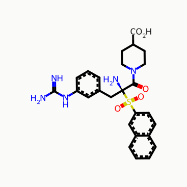 N=C(N)Nc1cccc(C[C@](N)(C(=O)N2CCC(C(=O)O)CC2)S(=O)(=O)c2ccc3ccccc3c2)c1